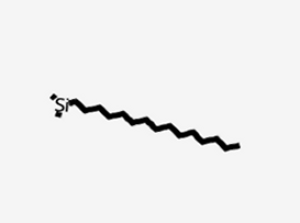 CCCCCCCCCCCCCCC[Si](C)C